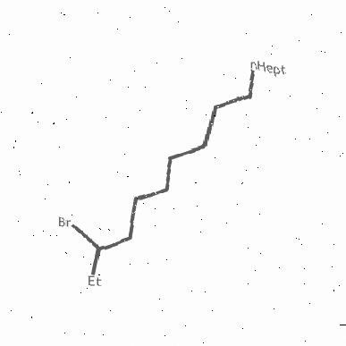 CCCCCCCCCCCCCCC(Br)CC